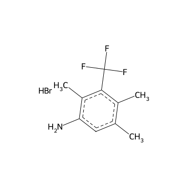 Br.Cc1cc(N)c(C)c(C(F)(F)F)c1C